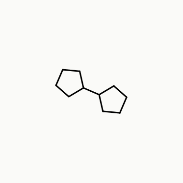 C1CCC(C2CCCC2)C1